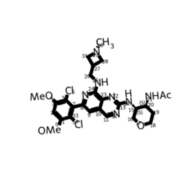 COc1cc(OC)c(Cl)c(-c2cc3cnc(N[C@@H]4COCC[C@@H]4NC(C)=O)nc3c(NCC3CN(C)C3)n2)c1Cl